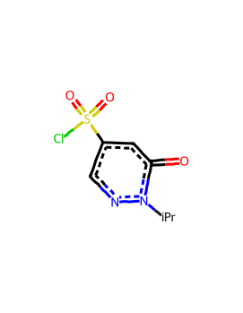 CC(C)n1ncc(S(=O)(=O)Cl)cc1=O